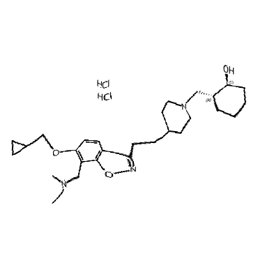 CN(C)Cc1c(OCC2CC2)ccc2c(CCC3CCN(C[C@H]4CCCC[C@@H]4O)CC3)noc12.Cl.Cl